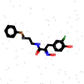 O=C(NCC[Se]Sc1ccccc1)/C(Cc1ccc(O)c(F)c1)=N/O